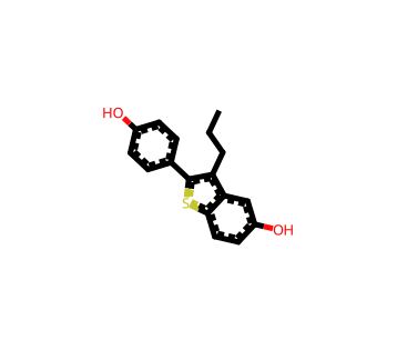 CCCc1c(-c2ccc(O)cc2)sc2ccc(O)cc12